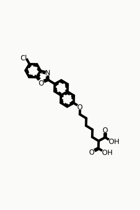 O=C(O)C(CCCCCOc1ccc2cc(-c3nc4cc(Cl)ccc4o3)ccc2c1)C(=O)O